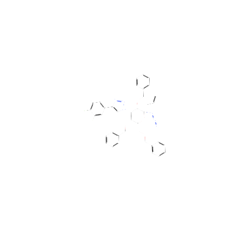 C=CC[C@]1(N=[N+]=[N-])O[C@H](COCc2ccccc2)[C@H](OCc2ccccc2)[C@H](n2cc(-c3cc(F)c(F)c(F)c3)nn2)[C@H]1OCc1ccccc1